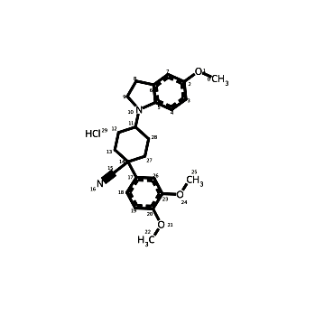 COc1ccc2c(c1)CCN2C1CCC(C#N)(c2ccc(OC)c(OC)c2)CC1.Cl